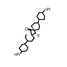 CCCC1CCC(C2CC[C@]3(CC2)C(=O)[C@@]2(CCC(C4CCC(CCC)CC4)CC2)[C@H]3F)CC1